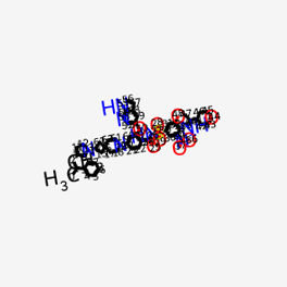 CC(C)c1ccccc1[C@@H]1CCCN1C1CC2(CCN(c3ccc(C(=O)NS(=O)(=O)c4cc5c(c([N+](=O)[O-])c4)NC(C4CCOCC4)CO5)c(Oc4cnc5[nH]ccc5c4)c3)CC2)C1